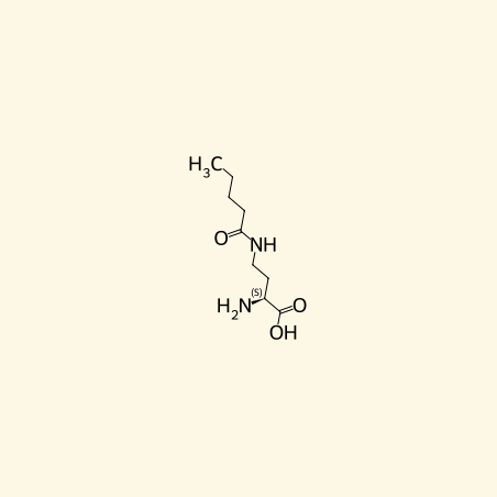 CCCCC(=O)NCC[C@H](N)C(=O)O